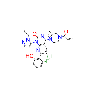 C=CC(=O)N1CCN(c2nc(=O)n(-c3ccnn3CCC)c3nc(-c4c(O)cccc4F)c(Cl)cc23)[C@@H](C)C1